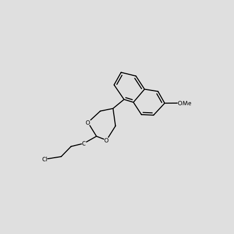 COc1ccc2c(C3COC(CCCCl)OC3)cccc2c1